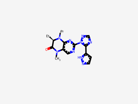 CC[C@@H]1C(=O)N(C)c2cnc(-n3ncnc3-c3ccn[nH]3)nc2N1C(C)C